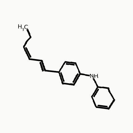 CC/C=C\C=C\c1ccc(NC2=CC=CCC2)cc1